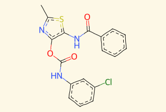 Cc1nc(OC(=O)Nc2cccc(Cl)c2)c(NC(=O)c2ccccc2)s1